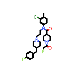 Cc1ccc(N(CCCN2CCC(Cc3ccc(F)cc3)CC2)C(=O)C2CCN(C(=O)CF)CC2)cc1Cl